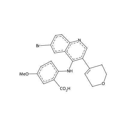 COc1ccc(Nc2c(C3=CCOCC3)cnc3ccc(Br)cc23)c(C(=O)O)c1